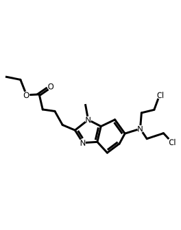 CCOC(=O)CCCc1nc2ccc(N(CCCl)CCCl)cc2n1C